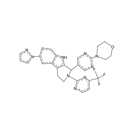 FC(F)(F)c1ccnc(N2CCc3c([nH]c4ccc(-n5cccn5)cc34)C2c2cnc(N3CCOCC3)nc2)n1